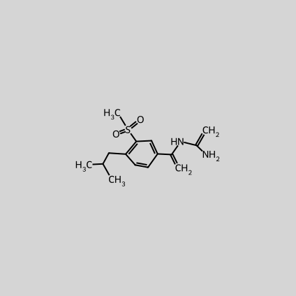 C=C(N)NC(=C)c1ccc(CC(C)C)c(S(C)(=O)=O)c1